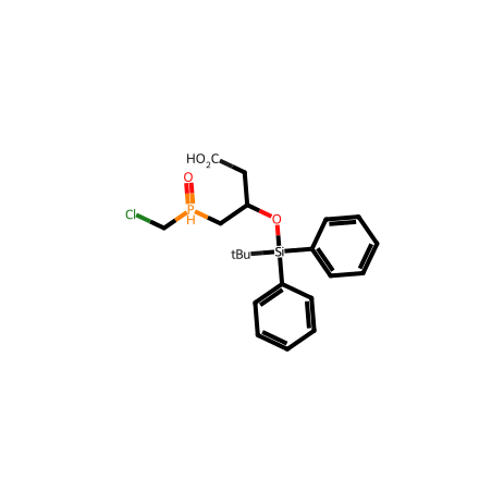 CC(C)(C)[Si](OC(CC(=O)O)C[PH](=O)CCl)(c1ccccc1)c1ccccc1